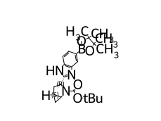 CC(C)(C)OC(=O)N1C2C[C@H]2C[C@@H]1c1nc2cc(B3OC(C)(C)C(C)(C)O3)ccc2[nH]1